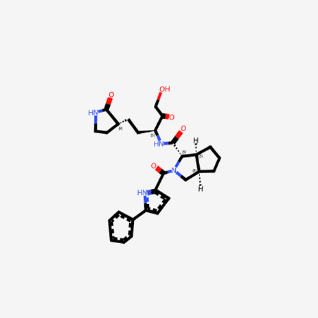 O=C1NCC[C@H]1CC[C@H](NC(=O)[C@@H]1[C@H]2CCC[C@H]2CN1C(=O)c1ccc(-c2ccccc2)[nH]1)C(=O)CO